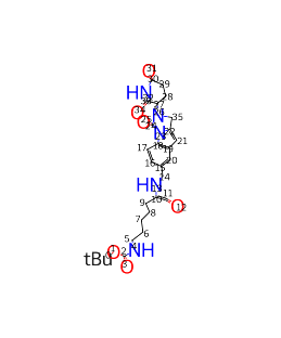 CC(C)(C)OC(=O)NCCCCCC(=C=O)NCc1ccc2c(c1)cc1n2C(=O)N(C2CCC(=O)NC2=O)C1